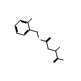 NC(CC(=O)OCc1ccccc1Cl)C(=O)O